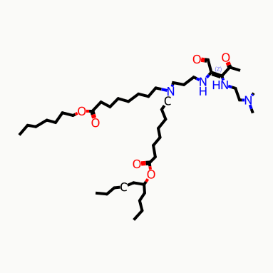 CCCCCCCOC(=O)CCCCCCCN(CCCCCCCC(=O)OC(CCCC)CCCCC)CCCN/C(C=O)=C(\NCCN(C)C)C(C)=O